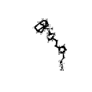 [N-]=[N+]=NCc1ccc(CCc2csc(NC34CC5CC(CC(C5)C3)C4)n2)s1